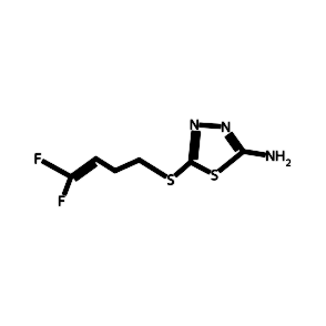 Nc1nnc(SCCC=C(F)F)s1